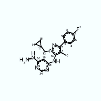 Cc1c(-c2ccc(F)cc2)nn(CC2CC2)c1Nc1cc(NN)ncn1